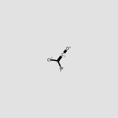 O=C=C(Cl)Br